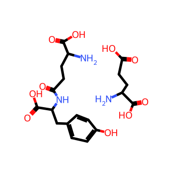 NC(CCC(=O)NC(Cc1ccc(O)cc1)C(=O)O)C(=O)O.NC(CCC(=O)O)C(=O)O